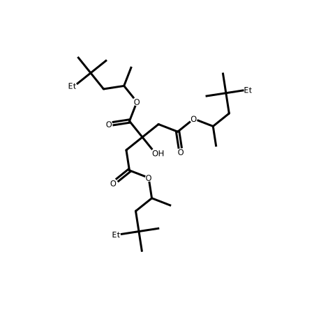 CCC(C)(C)CC(C)OC(=O)CC(O)(CC(=O)OC(C)CC(C)(C)CC)C(=O)OC(C)CC(C)(C)CC